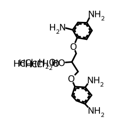 Cl.Cl.Cl.Cl.Nc1ccc(OCC(O)COc2ccc(N)cc2N)c(N)c1.O.O